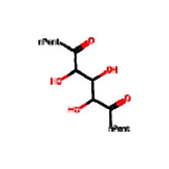 CCCCCC(=O)C(O)C(O)C(O)C(=O)CCCCC